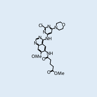 COC(=O)CCCC(=O)Nc1cc2c(Nc3cc(N4CCOCC4)nc(Cl)n3)ncnc2cc1OC